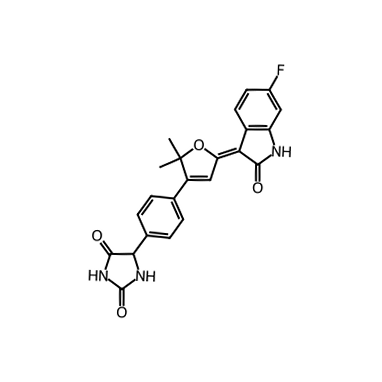 CC1(C)O/C(=C2/C(=O)Nc3cc(F)ccc32)C=C1c1ccc(C2NC(=O)NC2=O)cc1